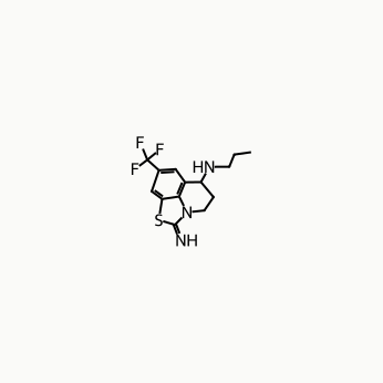 CCCNC1CCn2c(=N)sc3cc(C(F)(F)F)cc1c32